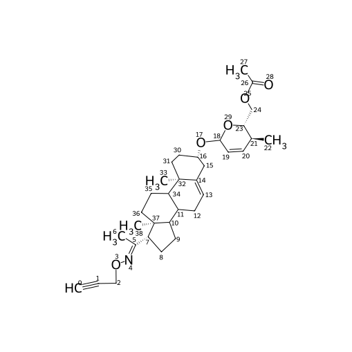 C#CCO/N=C(\C)[C@H]1CCC2C3CC=C4C[C@@H](OC5C=C[C@H](C)[C@@H](COC(C)=O)O5)CC[C@]4(C)C3CC[C@@]21C